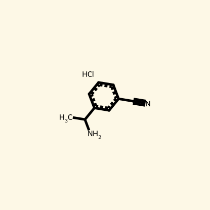 CC(N)c1cccc(C#N)c1.Cl